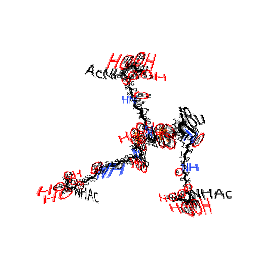 CC(=O)NC1C(OCCCCC(=O)NCCCCCC(=O)N2CC(C(C)(C)C)C[C@H]2COP(=O)(O)O[C@@H]2C[C@@H](COP(=O)(O)O[C@@H]3C[C@@H](CO)N(C(=O)CCCCCNC(=O)CCCCOC4OC(CO)C(O)C(O)C4NC(C)=O)C3)N(C(=O)CCCCCNC(=O)CCCCOC3OC(CO)C(O)C(O)C3NC(C)=O)C2)OC(CO)C(O)C1O